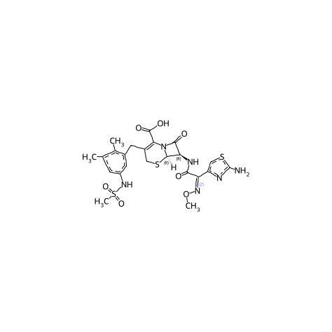 CO/N=C(\C(=O)N[C@@H]1C(=O)N2C(C(=O)O)=C(Cc3cc(NS(C)(=O)=O)cc(C)c3C)CS[C@H]12)c1csc(N)n1